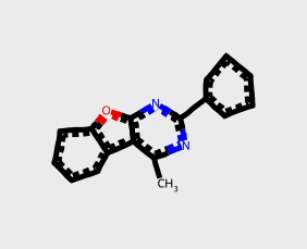 Cc1nc(-c2ccccc2)nc2oc3ccccc3c12